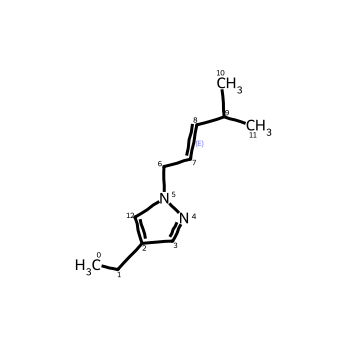 CCc1cnn(C/C=C/C(C)C)c1